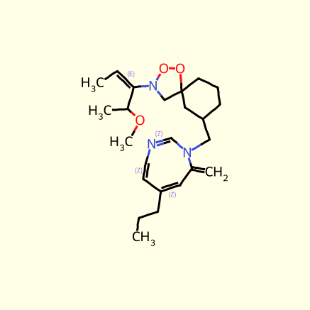 C=C1\C=C(CCC)/C=C\N=C/N1CC1CCCC2(C1)CN(/C(=C/C)C(C)OC)OO2